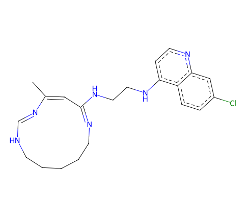 CC1=C/C(NCCNc2ccnc3cc(Cl)ccc23)=N\CCCCCN\C=N\1